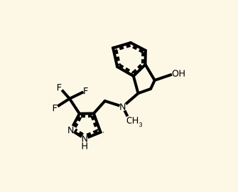 CN(Cc1[c][nH]nc1C(F)(F)F)C1CC(O)c2ccccc21